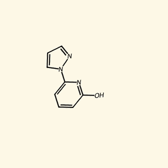 Oc1cccc(-n2cccn2)n1